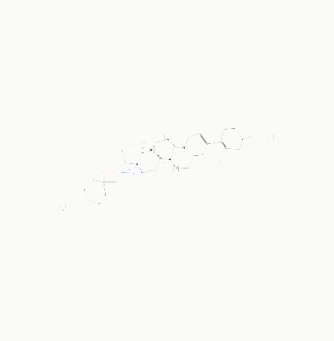 CS[C@H]1CC[C@@](O)(CCNC23CCC[C@@H]2C2CCC4C5(C)CC=C(C6=CCC(C(=O)O)CC6)C(C)C5CCC4(C)[C@]2(C)CC3)CC1